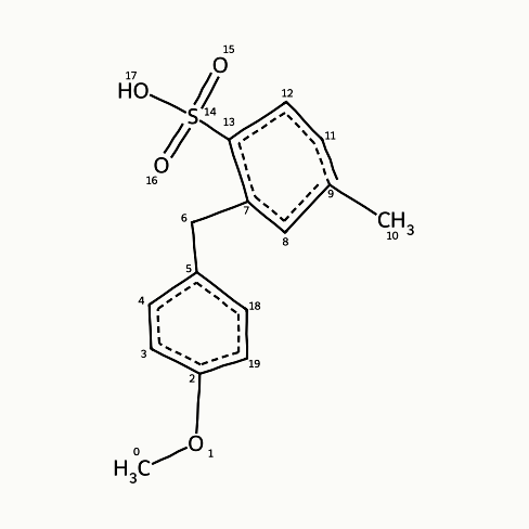 COc1ccc(Cc2cc(C)ccc2S(=O)(=O)O)cc1